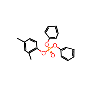 Cc1ccc(OP(=O)(Oc2ccccc2)Oc2ccccc2)c(C)c1